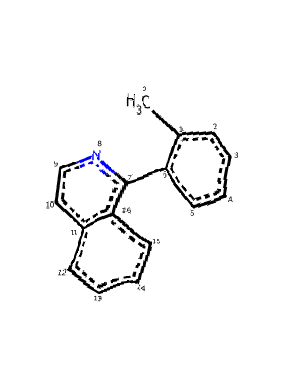 Cc1ccccc1-c1nccc2ccccc12